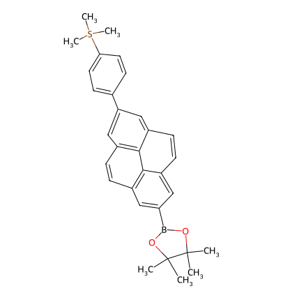 CC1(C)OB(c2cc3ccc4cc(-c5ccc(S(C)(C)C)cc5)cc5ccc(c2)c3c45)OC1(C)C